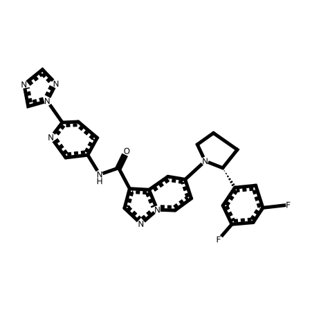 O=C(Nc1ccc(-n2cncn2)nc1)c1cnn2ccc(N3CCC[C@@H]3c3cc(F)cc(F)c3)cc12